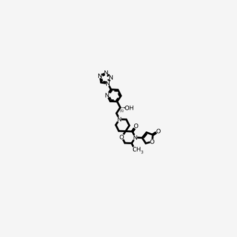 CC1COC2(CCN(C[C@@H](O)c3ccc(-n4cnnn4)nc3)CC2)C(=O)N1C1=CC(=O)OC1